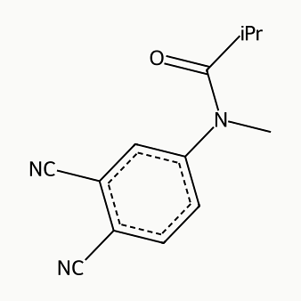 CC(C)C(=O)N(C)c1ccc(C#N)c(C#N)c1